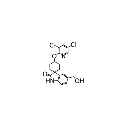 O=C1Nc2ccc(CO)cc2C12CCC(Oc1ncc(Cl)cc1Cl)CC2